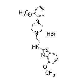 Br.COc1ccccc1N1CCN(CCNc2nc3c(OC)cccc3s2)CC1